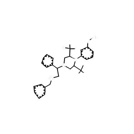 COc1cccc(N2C(C(F)(F)F)CN(C(CNCc3ccccc3)c3ccccc3)CC2C(F)(F)F)c1